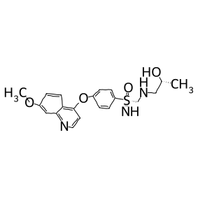 COc1ccc2c(Oc3ccc([S@](=N)(=O)CNC[C@@H](C)O)cc3)ccnc2c1